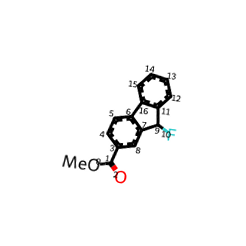 COC(=O)c1ccc2c(c1)C(F)c1ccccc1-2